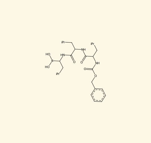 CC(C)CC(NC(=O)C(CC(C)C)NC(=O)C(CC(C)C)NC(=O)OCc1ccccc1)B(O)O